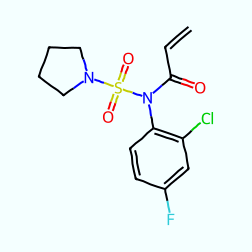 C=CC(=O)N(c1ccc(F)cc1Cl)S(=O)(=O)N1CCCC1